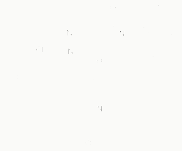 Cc1cccc(-n2ncc(C(=O)NC34CC5CC(CC(C5)C3)C4)c2OCCN2CCOCC2)c1C